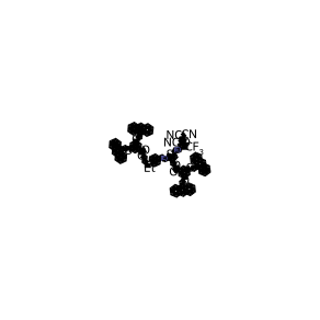 CCN(CCOC(=O)c1cc(OCc2c3c(cc4ccccc24)CCC=C3)cc(OCc2c3ccccc3cc3ccccc23)c1)c1ccc(/C=C/c2sc(/C=C/C3=C(C#N)C(=C(C#N)C#N)OC3(C)C(F)(F)F)cc2COC(=O)C2=CC(OCC3=C4C=CCCC4CC4=C3CCC=C4)CC(OCC3=c4ccccc4=CC4C=CC=CC34)=C2)cc1